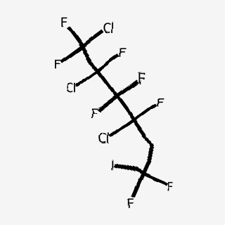 FC(F)(I)CC(F)(Cl)C(F)(F)C(F)(Cl)C(F)(F)Cl